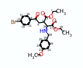 CCOC(=O)C(CC(=O)c1ccc(Br)cc1)C(NCc1ccc(OC)cc1)C(=O)OCC